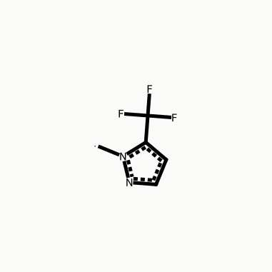 [CH2]n1nccc1C(F)(F)F